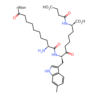 CCCCCCCCCC(=O)CCCCCCC[C@H](N)C(=O)N[C@H](Cc1c[nH]c2cc(C)ccc12)C(=O)CCCC[C@@H](NC(=O)CCC(=O)O)C(=O)O